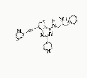 N[C@H](CNc1nc(-c2ccncc2)nc2c(C#Cc3cscn3)csc12)Cc1ccccc1